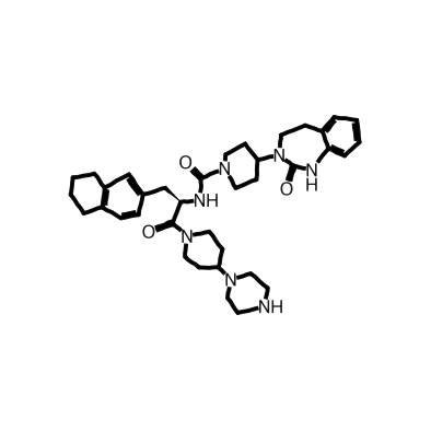 O=C(N[C@H](Cc1ccc2c(c1)CCCC2)C(=O)N1CCC(N2CCNCC2)CC1)N1CCC(N2CCc3ccccc3NC2=O)CC1